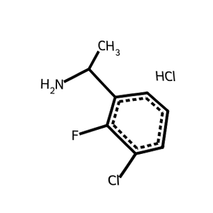 CC(N)c1cccc(Cl)c1F.Cl